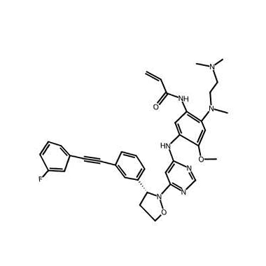 C=CC(=O)Nc1cc(Nc2cc(N3OCC[C@@H]3c3cccc(C#Cc4cccc(F)c4)c3)ncn2)c(OC)cc1N(C)CCN(C)C